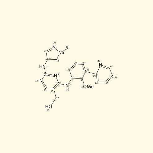 COc1c(Nc2nc(Nc3cnn(C)c3)ncc2CO)cccc1-c1ccccn1